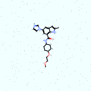 COCCOC1CCC(NC(=O)c2cc(-n3ccnc3)cc3cc(C)[nH]c23)CC1